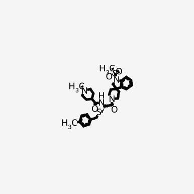 Cc1ccc(CSC[C@H](NC(=O)C2CCN(C)CC2)C(=O)N2CCC3(CC2)CN(S(C)(=O)=O)c2ccccc23)cc1